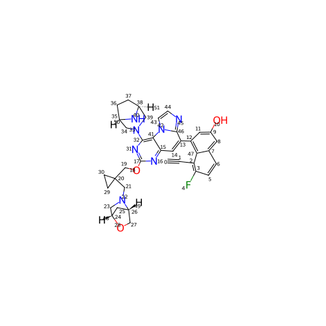 C#Cc1c(F)ccc2cc(O)cc(-c3cc4nc(OCC5(CN6C[C@@H]7C[C@H]6CO7)CC5)nc(N5C[C@H]6CC[C@@H](C5)N6)c4n4ccnc34)c12